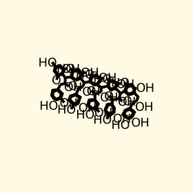 Oc1cc(O)c2c(c1)OC(c1ccc(O)c(O)c1)C(O)C2c1c(O)cc(O)c2c1OC(c1ccc(O)c(O)c1)C(O)C2c1c(O)cc(O)c2c1OC(c1ccc(O)c(O)c1)C(O)C2c1c(O)cc(O)c2c1OC(c1ccc(O)c(O)c1)C(O)C2c1c(O)cc(O)c2c1OC(c1ccc(O)c(O)c1)C(O)C2